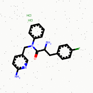 Cl.Cl.Nc1ccc(CN(C(=O)C(N)Cc2ccc(F)cc2)c2ccccc2)cn1